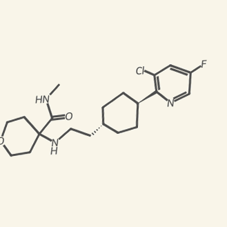 CNC(=O)C1(NCC[C@H]2CC[C@H](c3ncc(F)cc3Cl)CC2)CCOCC1